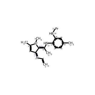 C=C/N=C1/C=C(C)N(C)/C1=C(/C)Nc1ccc(C)cc1BC(C)C